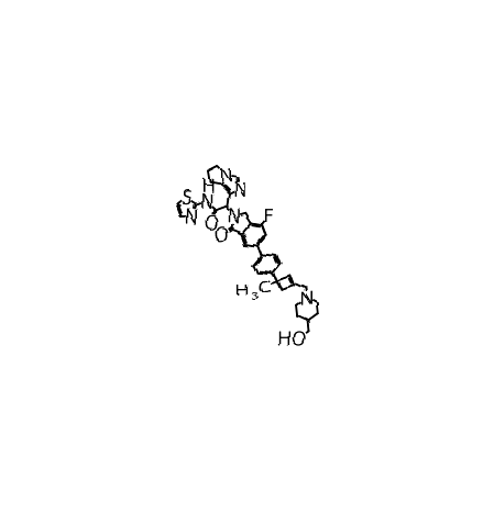 CC1(c2ccc(-c3cc(F)c4c(c3)C(=O)N(C(C(=O)Nc3nccs3)c3ncn5c3CCC5)C4)cc2)C=C(CN2CCC(CO)CC2)C1